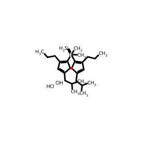 CCCC1=[C]([Ti]([CH3])([CH3])(=[SiH2])[C]2=C(CCC)C=C(CC(C)C)C2)CC(CC(C)C)=C1.Cl.Cl